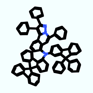 c1ccc(-c2nn3c(-c4ccccc4)cc4c(N(c5ccc6c(c5)C(c5ccccc5)(c5ccccc5)c5ccccc5-6)c5cccc6c5-c5ccccc5C65c6ccccc6-c6ccccc65)cccc4c3c2-c2ccccc2)cc1